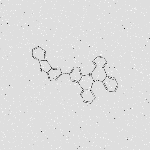 c1ccc2c(c1)B1c3ccc(-c4ccc5sc6ccccc6c5c4)cc3-c3ccccc3N1c1ccccc1-2